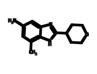 Cc1cc(N)cc2nc(C3CCOCC3)[nH]c12